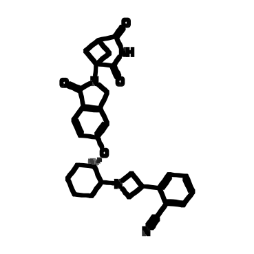 N#Cc1ccccc1C1CN(C2CCCC[C@@H]2Oc2ccc3c(c2)CN(C24CC(C2)C(=O)NC4=O)C3=O)C1